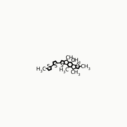 Cc1ccc(-c2ccc(-c3cc4c(s3)-c3c(C)c5c(c(C)c3C4C)-c3sc(C)cc3C5C)s2)s1